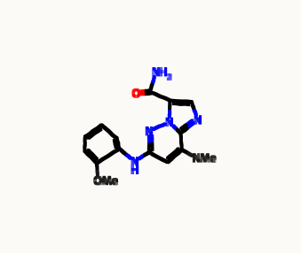 CNc1cc(Nc2ccccc2OC)nn2c(C(N)=O)cnc12